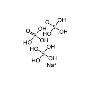 O=P(O)(O)O.O[Si](O)(O)O.[Na+].[O-][Si](O)(O)O